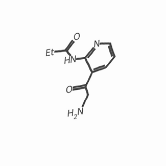 CCC(=O)Nc1ncccc1C(=O)CN